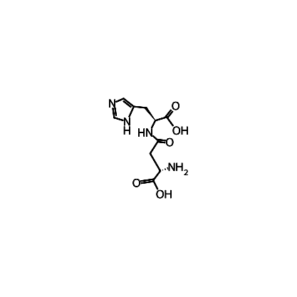 N[C@@H](CC(=O)N[C@@H](Cc1cnc[nH]1)C(=O)O)C(=O)O